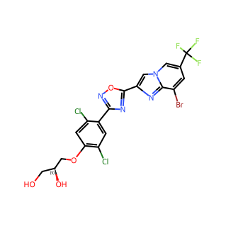 OC[C@H](O)COc1cc(Cl)c(-c2noc(-c3cn4cc(C(F)(F)F)cc(Br)c4n3)n2)cc1Cl